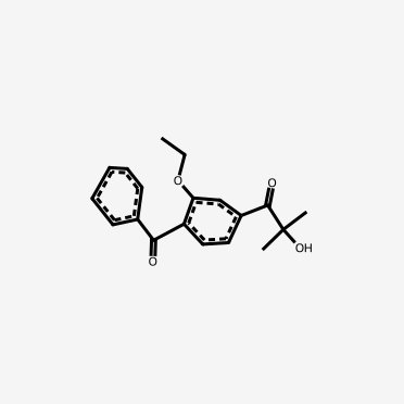 CCOc1cc(C(=O)C(C)(C)O)ccc1C(=O)c1ccccc1